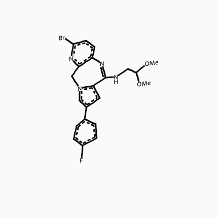 COC(CNC1=Nc2ccc(Br)nc2Cn2cc(-c3ccc(F)cc3)cc21)OC